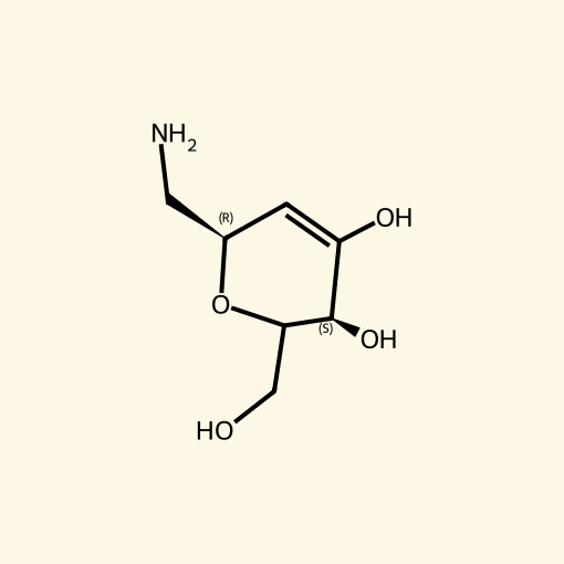 NC[C@H]1C=C(O)[C@@H](O)C(CO)O1